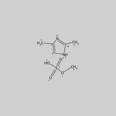 COS(=O)(=O)O.Cc1c[nH]c(C)n1